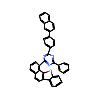 c1ccc(-c2nc(-c3ccc(-c4ccc5ccccc5c4)cc3)nc(-c3cccc4ccc5c6ccccc6oc5c34)n2)cc1